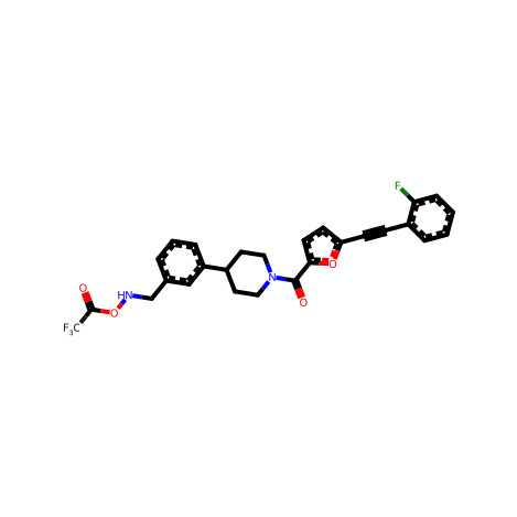 O=C(c1ccc(C#Cc2ccccc2F)o1)N1CCC(c2cccc(CNOC(=O)C(F)(F)F)c2)CC1